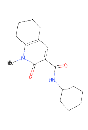 CCCCn1c2c(cc(C(=O)NC3CCCCC3)c1=O)CCCC2